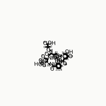 CC(C)(O/N=C(\C(=O)N[C@@H]1C(=O)N(S(=O)(=O)O)[C@@H]1CNC(=O)c1cccc(NC(=O)c2cc(=O)c(O)cn2O)c1)c1csc(N)n1)C(=O)O